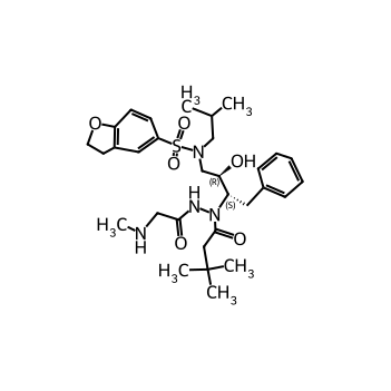 CNCC(=O)NN(C(=O)CC(C)(C)C)[C@@H](Cc1ccccc1)[C@H](O)CN(CC(C)C)S(=O)(=O)c1ccc2c(c1)CCO2